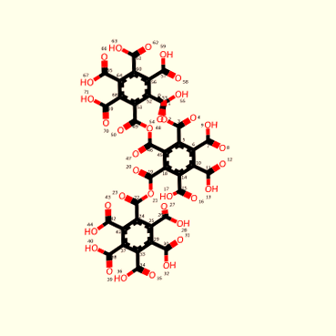 CCOC(=O)c1c(C(=O)O)c(C(=O)O)c(C(=O)O)c(C(=O)OC(=O)c2c(C(=O)O)c(C(=O)O)c(C(=O)O)c(C(=O)O)c2C(=O)O)c1C(=O)OC(=O)c1c(C(=O)O)c(C(=O)O)c(C(=O)O)c(C(=O)O)c1C(=O)O